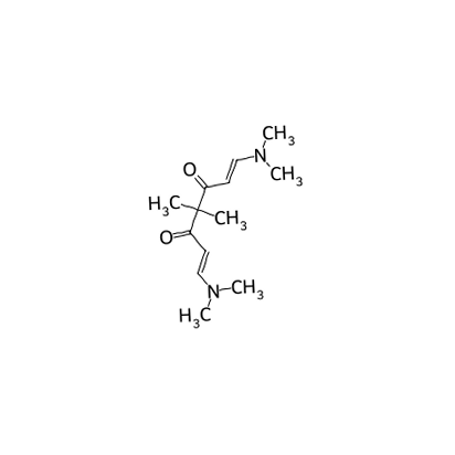 CN(C)/C=C/C(=O)C(C)(C)C(=O)/C=C/N(C)C